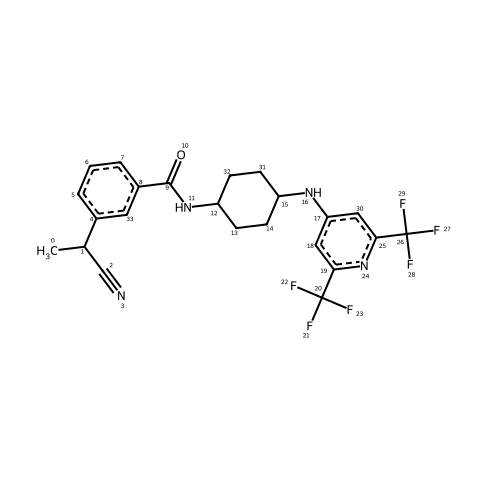 CC(C#N)c1cccc(C(=O)NC2CCC(Nc3cc(C(F)(F)F)nc(C(F)(F)F)c3)CC2)c1